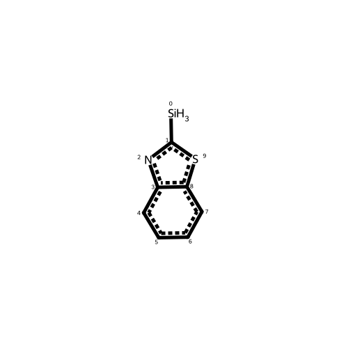 [SiH3]c1nc2ccccc2s1